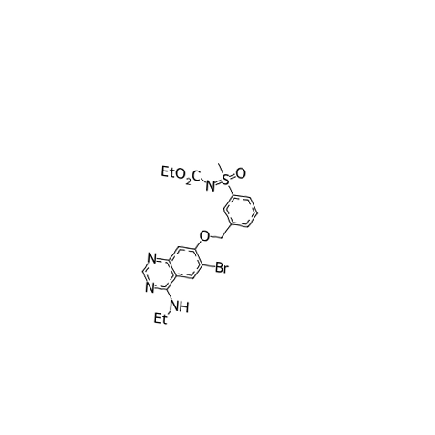 CCNc1ncnc2cc(OCc3cccc(S(C)(=O)=NC(=O)OCC)c3)c(Br)cc12